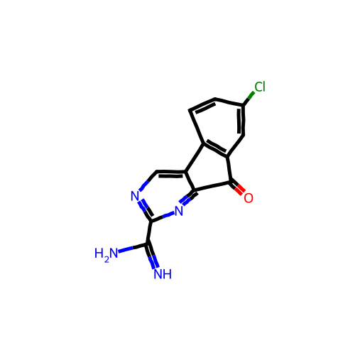 N=C(N)c1ncc2c(n1)C(=O)c1cc(Cl)ccc1-2